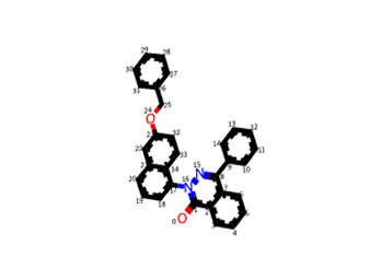 O=c1c2ccccc2c(-c2ccccc2)nn1-c1cccc2cc(OCc3ccccc3)ccc12